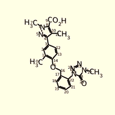 Cc1cc(-c2nn(C)c(C(=O)O)c2C)ccc1OCc1ccccc1-n1nnn(C)c1=O